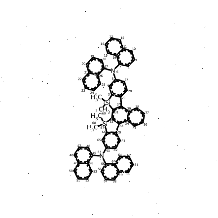 C[Si]1(C)c2cc(N(c3cccc4ccccc34)c3cccc4ccccc34)ccc2-c2c1c1c(c3ccccc23)-c2ccc(N(c3cccc4ccccc34)c3cccc4ccccc34)cc2[Si]1(C)C